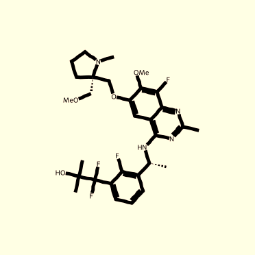 COC[C@]1(COc2cc3c(N[C@H](C)c4cccc(C(F)(F)C(C)(C)O)c4F)nc(C)nc3c(F)c2OC)CCCN1C